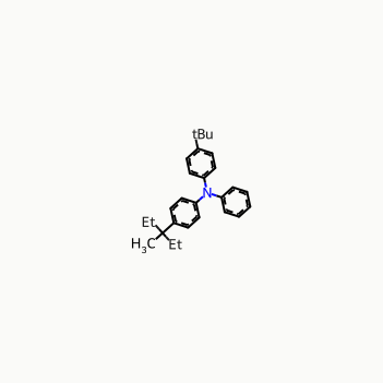 CCC(C)(CC)c1ccc(N(c2ccccc2)c2ccc(C(C)(C)C)cc2)cc1